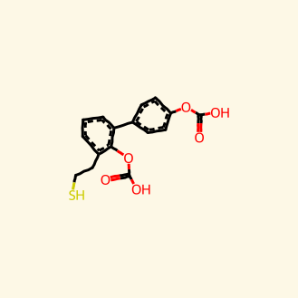 O=C(O)Oc1ccc(-c2cccc(CCS)c2OC(=O)O)cc1